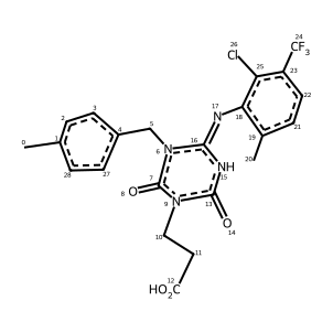 Cc1ccc(Cn2c(=O)n(CCC(=O)O)c(=O)[nH]/c2=N\c2c(C)ccc(C(F)(F)F)c2Cl)cc1